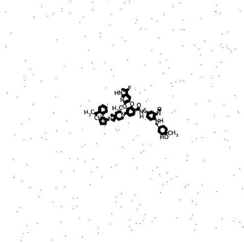 COc1nc2[nH]cc(F)c2cc1Oc1cc(N2CCC3(CC2)CN(C2CCC[C@H]2c2ccccc2C(C)C)C3)ccc1C(=O)NSc1ccc(NC[C@H]2CC[C@](C)(O)CC2)c(N=O)c1